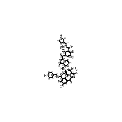 Cc1nc(C(C)c2cc(Cl)c(F)c(C(=O)NCC3CCNCC3)c2OC(C)CNc2nccn3c(C(C)c4cc(Cl)c(F)c(C(=O)NCC5CCNC5)c4OC(C)C)nc(C)c23)n2ccnc(N)c12